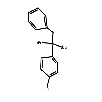 CC(C)C(Cc1ccccc1)(c1ccc(Cl)cc1)C(C)(C)C